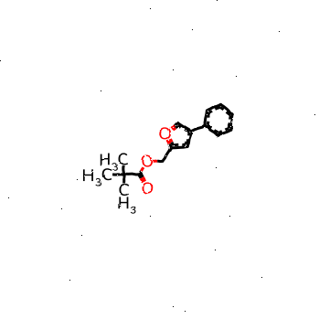 CC(C)(C)C(=O)OCc1cc(-c2ccccc2)co1